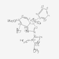 COc1ccc2c(S(=O)(=O)c3ccccc3)cc(-c3cnc(C)n3C)nc2c1Br